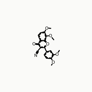 COc1ccc(-c2oc3c(OC)c(OC)ccc3c(=O)c2C#N)cc1OC